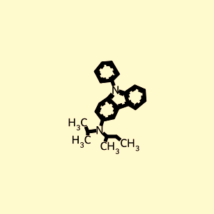 CCC(C)N(c1ccc2c(c1)c1ccccc1n2-c1ccccc1)C(C)C